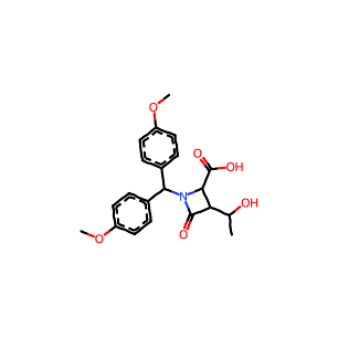 COc1ccc(C(c2ccc(OC)cc2)N2C(=O)C(C(C)O)C2C(=O)O)cc1